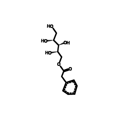 O=C(Cc1ccccc1)OC[C@H](O)[C@@H](O)[C@H](O)CO